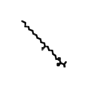 C=C(C)C(=O)OCCCCCCC(F)CCCCCCCCCCCC